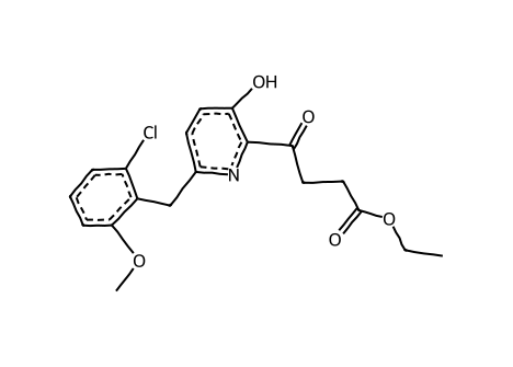 CCOC(=O)CCC(=O)c1nc(Cc2c(Cl)cccc2OC)ccc1O